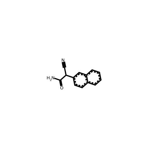 N#CC(C(N)=O)c1ccc2ccccc2c1